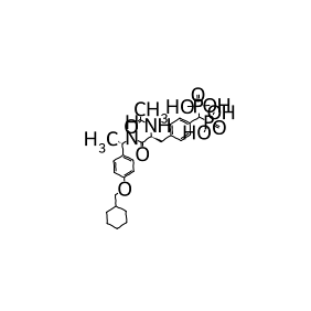 CC(=O)N[C@@H](Cc1ccc(C(P(=O)(O)O)P(=O)(O)O)cc1)C(=O)N[C@@H](C)c1ccc(OCC2CCCCC2)cc1